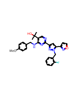 COc1ccc(CNc2nc(-c3cc(-c4ccon4)n(Cc4ccccc4F)n3)ncc2C(C)(C)O)cc1